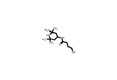 CC1(C)CC(NC(=O)CCCO)CC(C)(C)N1